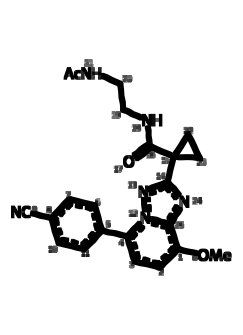 COc1ccc(-c2ccc(C#N)cc2)n2nc(C3(C(=O)NCCNC(C)=O)CC3)nc12